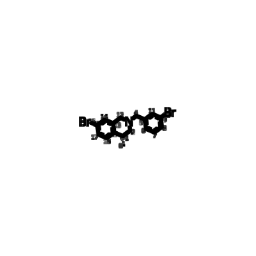 C[C@H]1CN(Cc2cccc(Br)c2)Cc2cc(Br)ccc21